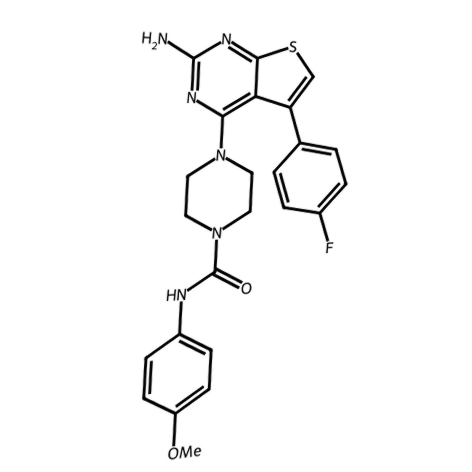 COc1ccc(NC(=O)N2CCN(c3nc(N)nc4scc(-c5ccc(F)cc5)c34)CC2)cc1